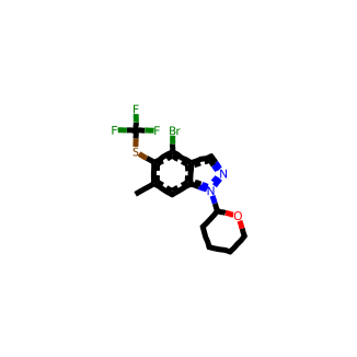 Cc1cc2c(cnn2C2CCCCO2)c(Br)c1SC(F)(F)F